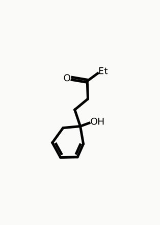 CCC(=O)CCC1(O)C=CC=CC1